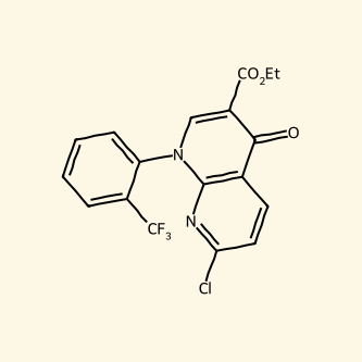 CCOC(=O)c1cn(-c2ccccc2C(F)(F)F)c2nc(Cl)ccc2c1=O